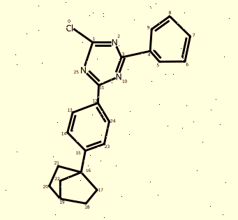 Clc1nc(-c2ccccc2)nc(-c2ccc(C34CCC(CC3)C4)cc2)n1